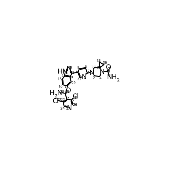 NC(=O)N1CCN(c2ccc(-c3n[nH]c4ccc(O[C@H](N)c5c(Cl)cncc5Cl)cc34)cn2)CC12CC2